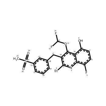 CCc1nc2c(F)ccc(O)c2c(OC(F)F)c1Cc1cccc(S(C)(=O)=O)c1